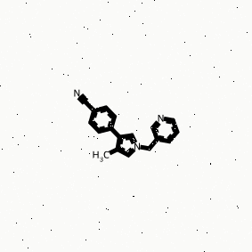 Cc1cn(Cc2cccnc2)cc1-c1ccc(C#N)cc1